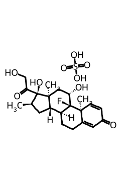 C[C@@H]1C[C@H]2[C@@H]3CCC4=CC(=O)C=C[C@]4(C)[C@@]3(F)[C@@H](O)C[C@]2(C)[C@@]1(O)C(=O)CO.O=S(=O)(O)O